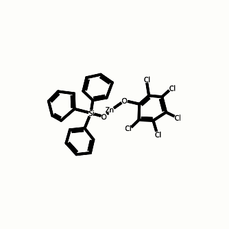 Clc1c(Cl)c(Cl)c([O][Zn][O][Si](c2ccccc2)(c2ccccc2)c2ccccc2)c(Cl)c1Cl